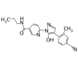 CCCNC(=O)c1ccc(-n2ncc(-c3ccc(C#N)cc3C)c2O)nc1